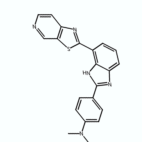 CN(C)c1ccc(-c2nc3cccc(-c4nc5ccncc5s4)c3[nH]2)cc1